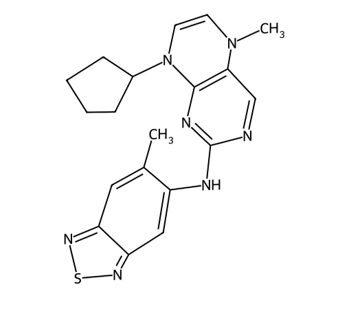 Cc1cc2nsnc2cc1Nc1ncc2c(n1)N(C1CCCC1)C=CN2C